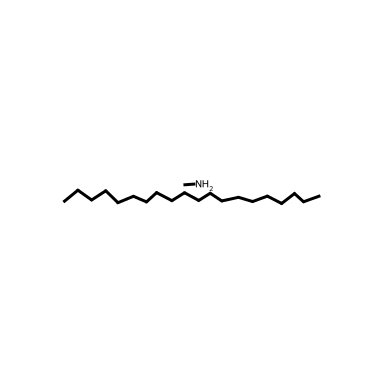 CCCCCCCCCCCCCCCCCCCC.CN